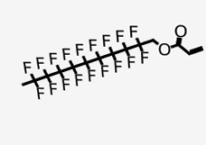 C=CC(=O)OCC(F)(F)C(F)(F)C(F)(F)C(F)(F)C(F)(F)C(F)(F)C(F)(F)C(F)(F)C(C)(F)F